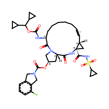 O=C(N[C@H]1CCCCC/C=C\[C@@H]2C[C@@]2(C(=O)NS(=O)(=O)C2CC2)NC(=O)[C@@H]2C[C@@H](OC(=O)N3Cc4cccc(F)c4C3)CN2C1=O)OC(C1CC1)C1CC1